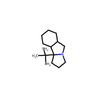 BC(B)(C)C12CCCN1CC1CCCCC12